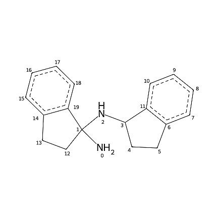 NC1(NC2CCc3ccccc32)CCc2ccccc21